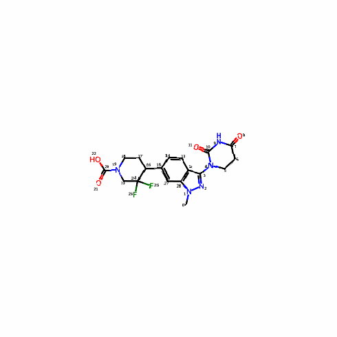 Cn1nc(N2CCC(=O)NC2=O)c2ccc(C3CCN(C(=O)O)CC3(F)F)cc21